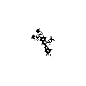 CC(C)(C)OC(=O)N(C(=O)OC(C)(C)C)c1ccc2c(c1)cc(-c1nc3cc(N)ccc3o1)n2C(=O)OC(C)(C)C